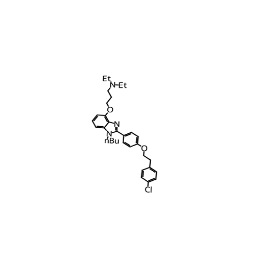 CCCCn1c(-c2ccc(OCCc3ccc(Cl)cc3)cc2)nc2c(OCCCN(CC)CC)cccc21